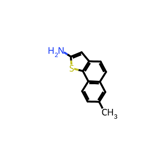 Cc1ccc2c(ccc3cc(N)sc32)c1